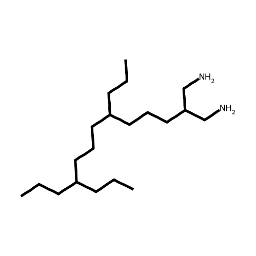 CCCC(CCC)CCCC(CCC)CCCC(CN)CN